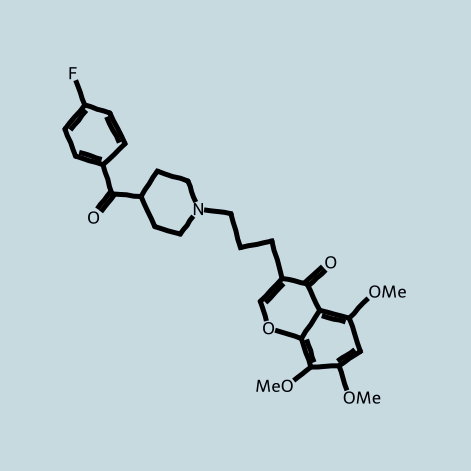 COc1cc(OC)c2c(=O)c(CCCN3CCC(C(=O)c4ccc(F)cc4)CC3)coc2c1OC